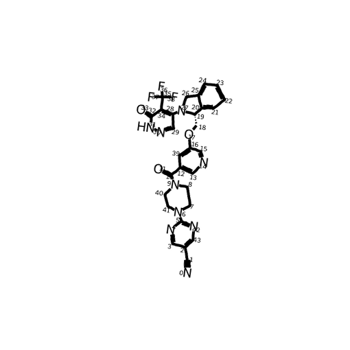 N#Cc1cnc(N2CCN(C(=O)c3cncc(OC[C@H]4c5ccccc5CN4c4cn[nH]c(=O)c4C(F)(F)F)c3)CC2)nc1